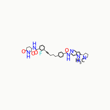 CN1CCC[C@@H]1c1cc2cnc(NC(=O)c3ccc(CCCC#Cc4cccc(C(=O)N[C@H]5CCC(=O)NC5=O)c4F)cc3)cc2[nH]1